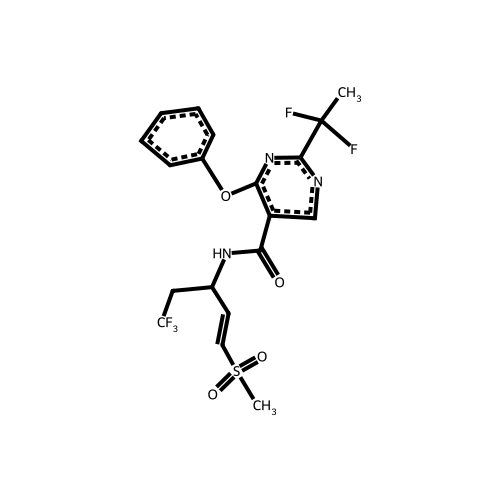 CC(F)(F)c1ncc(C(=O)NC(/C=C/S(C)(=O)=O)CC(F)(F)F)c(Oc2ccccc2)n1